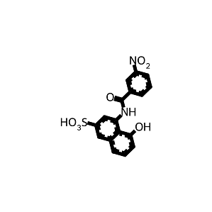 O=C(Nc1cc(S(=O)(=O)O)cc2cccc(O)c12)c1cccc([N+](=O)[O-])c1